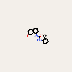 Cc1ccccc1NC(=O)Nc1cccc2c1CC(O)CC2